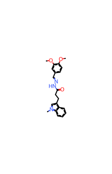 COc1ccc(C=NNC(=O)CCc2cn(C)c3ccccc23)cc1OC